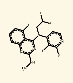 NNc1nc(N(CC(F)F)c2ccnc(Br)c2F)c2c(F)cccc2n1